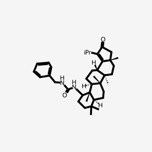 CC(C)C1=C2[C@H]3CC[C@@H]4[C@@]5(C)C(NC(=O)NCc6ccccc6)CCC(C)(C)[C@@H]5CC[C@@]4(C)[C@]3(C)CC[C@@]2(C)CC1=O